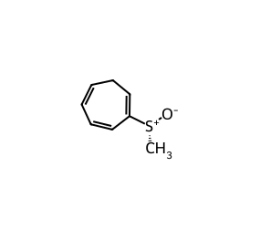 C[S@@+]([O-])C1=CCC=CC=C1